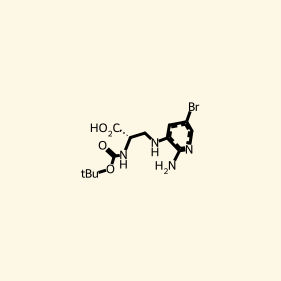 CC(C)(C)OC(=O)N[C@@H](CNc1cc(Br)cnc1N)C(=O)O